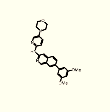 COc1cc(OC)cc(-c2ccc3cc(Nc4ccc(N5CCOCC5)cn4)ncc3c2)c1